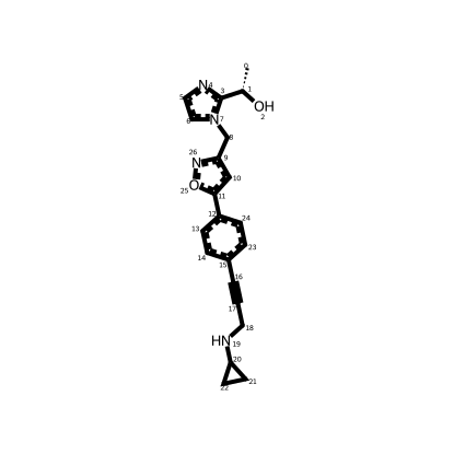 C[C@H](O)c1nccn1Cc1cc(-c2ccc(C#CCNC3CC3)cc2)on1